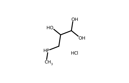 CPCC(O)C(O)O.Cl